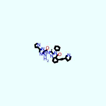 C[C@H](NC(=O)c1nc(C2=CCC=N2)cnc1N)c1nc2cccc(C#Cc3cccnc3)c2c(=O)n1-c1ccccc1